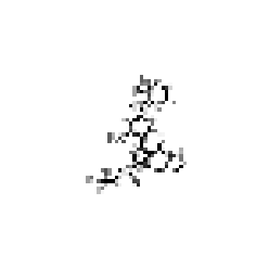 CC1CCCN1C(=O)c1nc(C(=O)NCC(C)(C)O)sc1-c1cnc(NC2CCCCC2(F)F)cc1C(F)(F)F